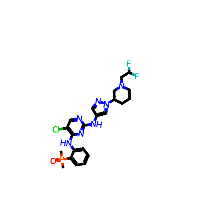 CP(C)(=O)c1ccccc1Nc1nc(Nc2cnn(C3CCCN(CC(F)F)C3)c2)ncc1Cl